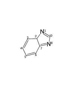 [C]1=NC2C=CC=CC2=N1